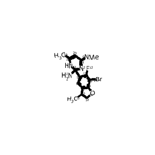 CNC1=NC(N)(c2cc3c(c(Br)c2F)OCC3C)NC(C)=C1